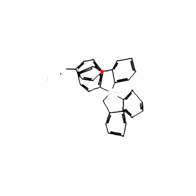 COc1ccc(-c2ccccc2[PH](Cc2ccccc2)(c2ccccc2)c2ccccc2)cc1